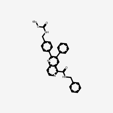 CC(C)(C)OC(=O)NCc1ccc(-c2nc3ccnc(C(=O)NCc4ccccc4)c3cc2-c2ccccc2)cc1